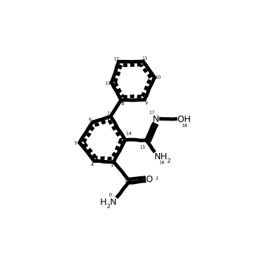 NC(=O)c1cccc(-c2ccccc2)c1C(N)=NO